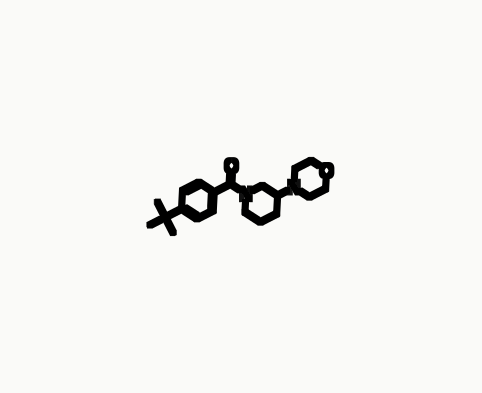 CC(C)(C)c1ccc(C(=O)N2CCCC(N3CCOCC3)C2)cc1